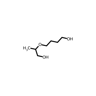 CC(CO)OCCCCO